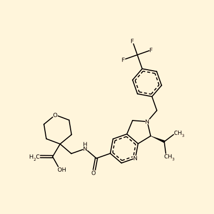 C=C(O)C1(CNC(=O)c2cnc3c(c2)CN(Cc2ccc(C(F)(F)F)cc2)[C@H]3C(C)C)CCOCC1